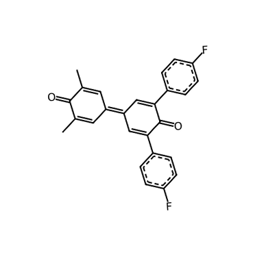 CC1=CC(=C2C=C(c3ccc(F)cc3)C(=O)C(c3ccc(F)cc3)=C2)C=C(C)C1=O